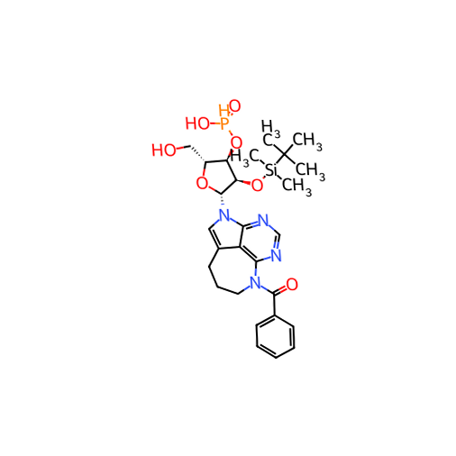 CC(C)(C)[Si](C)(C)O[C@@H]1[C@H](O[PH](=O)O)[C@@H](CO)O[C@H]1n1cc2c3c(ncnc31)N(C(=O)c1ccccc1)CCC2